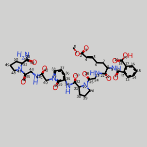 COC(=O)/C=C/CCC(NC(=O)c1ccccc1C(=O)O)C(=O)NCC(=O)N1CCCC1C(=O)Nc1cccn(CC(=O)NCC(=O)N2CCCC2C(N)=O)c1=O